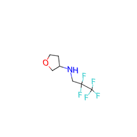 FC(F)(F)C(F)(F)CNC1CCOC1